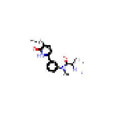 CC(=O)N(C(=O)[C@@H](C)N)c1cccc(-c2ccc(C(=O)O)c(=O)[nH]2)c1